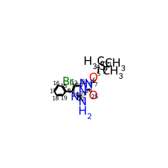 C[Si](C)(C)CCOCn1nc2c(Br)c(-c3ccccc3)nc(N)n2c1=O